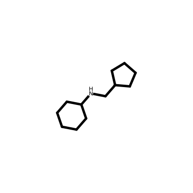 C1CCC(NC[C]2CCCC2)CC1